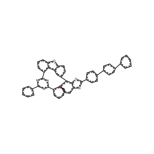 c1ccc(-c2ccc(-c3ccc(-c4nc5cccc(-c6ccc7oc8cccc(-c9nc(-c%10ccccc%10)nc(-c%10ccccc%10)n9)c8c7c6)c5o4)cc3)cc2)cc1